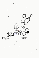 COc1cc2ncnc(Nc3ccc(Cl)c(Cl)c3F)c2cc1OC1CC2CCC(C1)N2C(=O)/C=C/CN(C)C